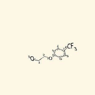 [O]CCOc1ccc(C(F)(F)F)cc1